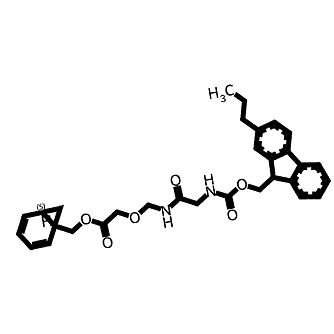 CCCc1ccc2c(c1)C(COC(=O)NCC(=O)NCOCC(=O)OCC13C=CC=C[C@@H]1C3)c1ccccc1-2